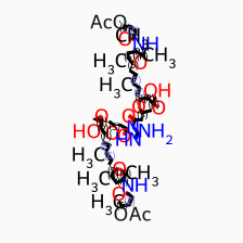 CC(=O)O[C@@H](C)/C=C\C(=O)N[C@@H]1C[C@H](C)[C@H](C/C=C(C)/C=C/[C@H]2O[C@H](CC(=O)N(C(=N)N)C(=O)C[C@@H]3C[C@@]4(CO4)[C@H](O)[C@@H](/C=C/C(C)=C/C[C@@H]4O[C@H](C)[C@H](NC(=O)/C=C\[C@H](C)OC(C)=O)C[C@@H]4C)O3)C[C@@]3(CO3)[C@@H]2O)O[C@@H]1C